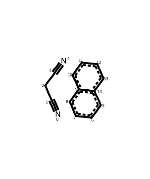 N#CCC#N.[c]1cccc2ccccc12